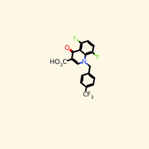 O=C(O)c1cn(Cc2ccc(C(F)(F)F)cc2)c2c(F)ccc(F)c2c1=O